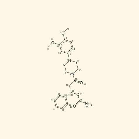 COc1ccc(N2CCN(C(=O)C[C@H](OC(N)=O)c3ccccc3)CC2)cc1OC